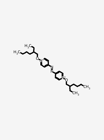 CCCCC(CC)CO[n+]1ccc(N=Nc2cc[n+](OCC(CC)CCCC)cc2)cc1